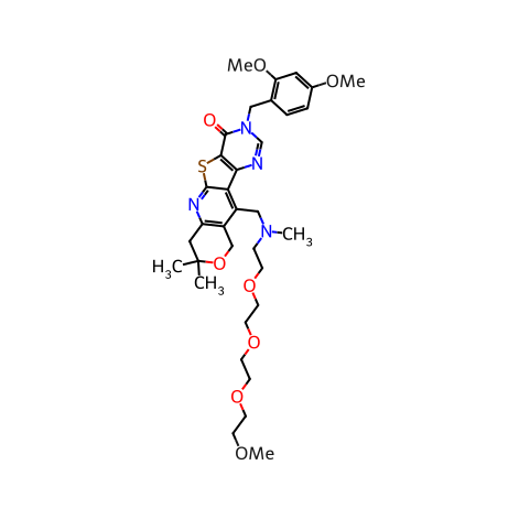 COCCOCCOCCOCCN(C)Cc1c2c(nc3sc4c(=O)n(Cc5ccc(OC)cc5OC)cnc4c13)CC(C)(C)OC2